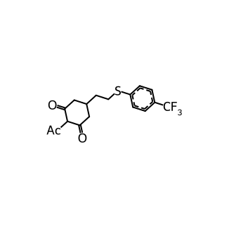 CC(=O)C1C(=O)CC(CCSc2ccc(C(F)(F)F)cc2)CC1=O